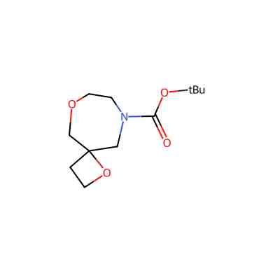 CC(C)(C)OC(=O)N1CCOCC2(CCO2)C1